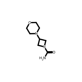 NC(=O)N1CC(N2CCOCC2)C1